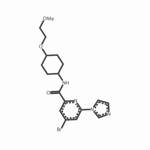 COCCOC1CCC(NC(=O)c2cc(Br)cc(-n3ccnc3)n2)CC1